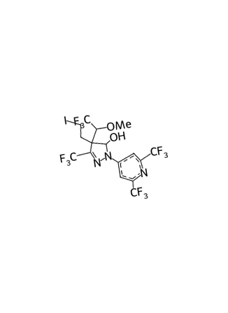 COC(C(F)(F)F)C1(CCI)C(C(F)(F)F)=NN(c2cc(C(F)(F)F)nc(C(F)(F)F)c2)C1O